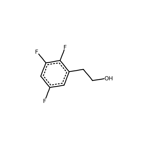 OCCc1cc(F)cc(F)c1F